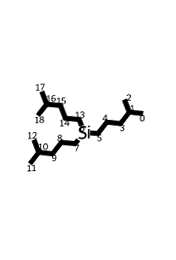 CC(C)CCC[Si](CCCC(C)C)CCCC(C)C